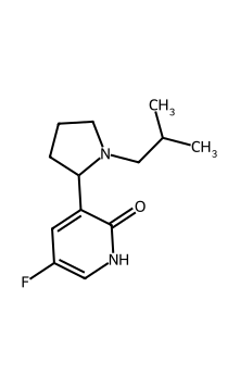 CC(C)CN1CCCC1c1cc(F)c[nH]c1=O